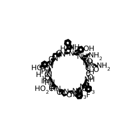 CCCC[C@H]1C(=O)N2CCC[C@@H]2C(=O)N[C@@H](CC(=O)O)C(=O)N[C@@H](C(C)C)C(=O)N(C)[C@@H](C(C)C)C(=O)N[C@@H](Cc2ccc(O)cc2)C(=O)N2CCC[C@@H]2C(=O)N[C@@H](Cc2c[nH]c3ccccc23)C(=O)N[C@@H](Cc2ccc(O)cc2)C(=O)N[C@@H](CCCN)C(=O)N[C@H](C(=O)NCC(N)=O)CSCC(=O)N[C@@H](Cc2ccc(F)cc2)C(=O)N(C)[C@@H](Cc2ccccc2)C(=O)N1C